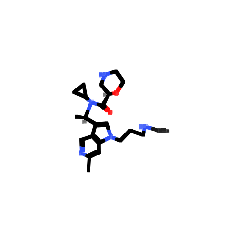 CONCCCn1cc([C@@H](C)N(C(=O)[C@H]2CNCCO2)C2CC2)c2cnc(C)cc21